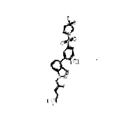 Cl.NC/C=C(\F)Cn1nnc2c(-c3cccc(S(=O)(=O)N4CCC(F)(F)C4)c3)cccc21